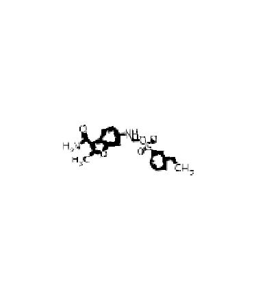 C=Cc1cccc(S(=O)(=O)OCNc2ccc3c(C(N)=O)c(C)oc3c2)c1